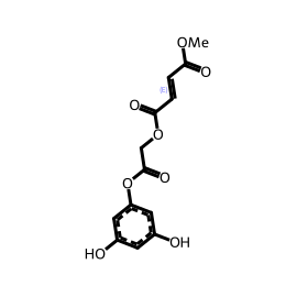 COC(=O)/C=C/C(=O)OCC(=O)Oc1cc(O)cc(O)c1